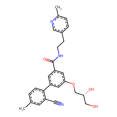 Cc1ccc(-c2cc(OC[C@H](O)CO)cc(C(=O)NCCc3ccc(C)nc3)c2)c(C#N)c1